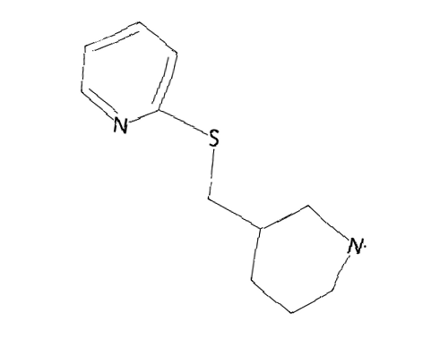 c1ccc(SCC2CCC[N]C2)nc1